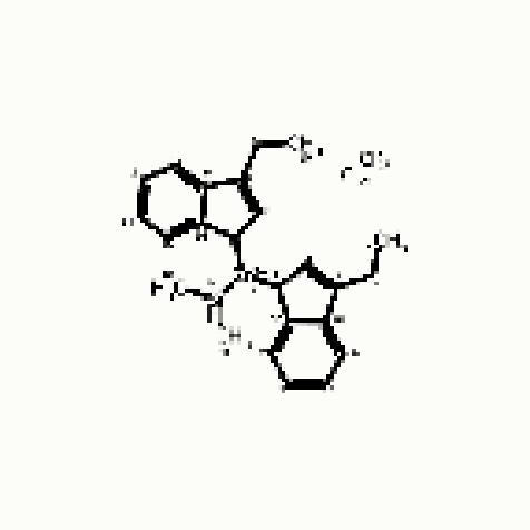 CCC1=C[CH]([Zr+2]([CH]2C=C(CC)c3ccccc32)[SiH](C)C)c2ccccc21.[Cl-].[Cl-]